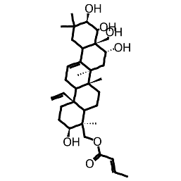 C=C[C@]12CC[C@H](O)[C@](C)(COC(=O)/C=C/C)C1CC[C@]1(C)C2CC=C2C3CC(C)(C)[C@@H](O)[C@H](O)[C@]3(CO)[C@H](O)C[C@]21C